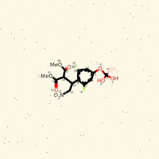 BC(O)(O)Oc1cc(F)c(C(C[N+](=O)[O-])C(C(=O)OC)C(=O)OC)c(F)c1